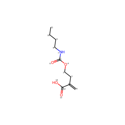 C=C(CCOC(=O)NCCCC)C(=O)O